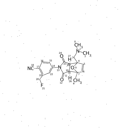 CN(C)CC12C=CC(C)(O1)[C@H]1C(=O)N(c3ccc(C#N)c(CF)c3)C(=O)[C@H]12